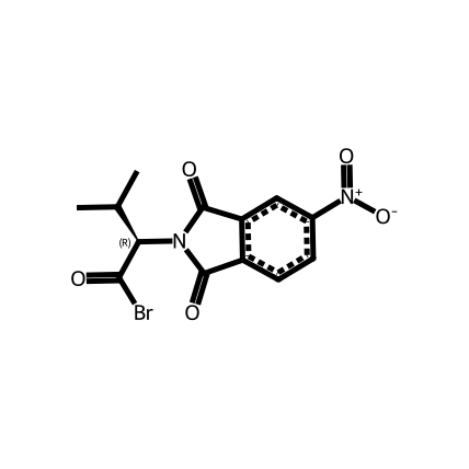 CC(C)[C@H](C(=O)Br)N1C(=O)c2ccc([N+](=O)[O-])cc2C1=O